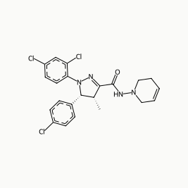 C[C@H]1C(C(=O)NN2CC=CCC2)=NN(c2ccc(Cl)cc2Cl)[C@H]1c1ccc(Cl)cc1